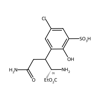 CCOC(=O)[C@@H](N)C(CC(N)=O)c1cc(Cl)cc(S(=O)(=O)O)c1O